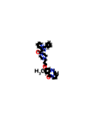 Cc1cc2c(cc1OCCCN1CCN(C(=O)c3nc(-c4ccccc4)n4ccccc34)CC1)N=C[C@@H]1CCCN1C2=O